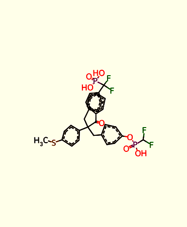 CSc1ccc(C(Cc2ccc(OP(=O)(O)C(F)F)cc2)(Cc2ccc(C(F)(F)P(=O)(O)O)cc2)C(=O)c2ccccc2)cc1